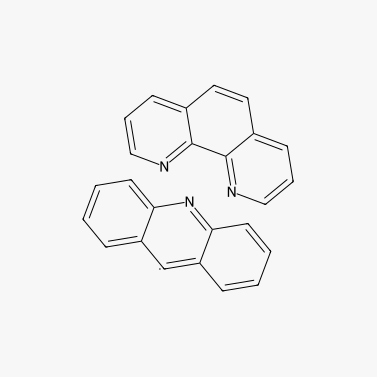 [c]1c2ccccc2nc2ccccc12.c1cnc2c(c1)ccc1cccnc12